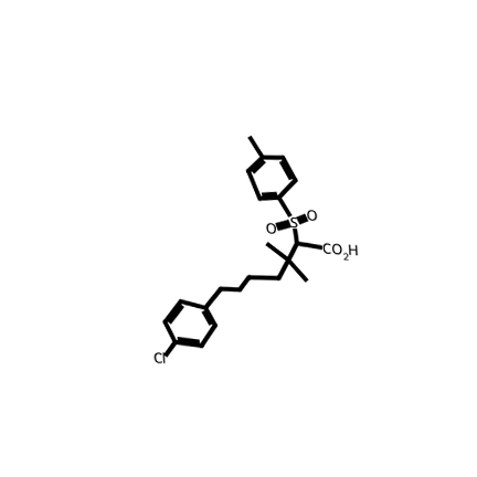 Cc1ccc(S(=O)(=O)C(C(=O)O)C(C)(C)CCCCc2ccc(Cl)cc2)cc1